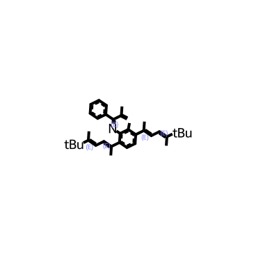 C=C(C)/C(=N\c1c(/C(C)=C/C=C(\C)C(C)(C)C)ccc(/C(C)=C/C=C(\C)C(C)(C)C)c1C)c1ccccc1